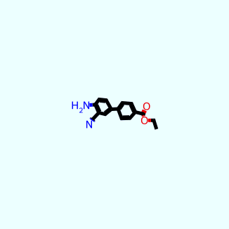 CCOC(=O)c1ccc(-c2ccc(N)c(C#N)c2)cc1